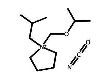 CC(C)C[N+]1(COC(C)C)CCCC1.[N-]=C=O